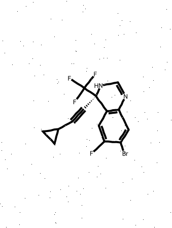 Fc1cc2c(cc1Br)N=CN[C@]2(C#CC1CC1)C(F)(F)F